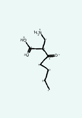 CCCCC(=O)C(CN)C(=O)O